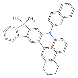 CC1(C)c2ccccc2-c2cc(-c3ccc4c(c3)CCCC4)c(N(c3ccccc3)c3ccc4ccccc4c3)cc21